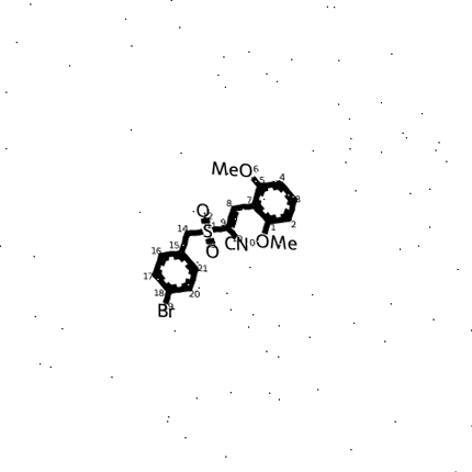 COc1cccc(OC)c1C=C(C#N)S(=O)(=O)Cc1ccc(Br)cc1